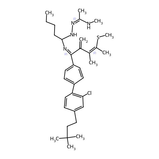 C=C(/C(=N\C(CCCC)N/N=C(/C)NC)c1ccc(-c2ccc(CCC(C)(C)C)cc2Cl)cc1)/C(C)=C(/C)SC